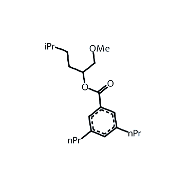 CCCc1cc(CCC)cc(C(=O)OC(CCC(C)C)COC)c1